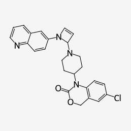 O=C1OCc2cc(Cl)ccc2N1C1CCN(C2C=CN2c2ccc3ncccc3c2)CC1